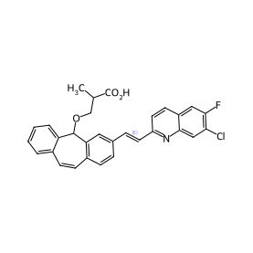 CC(COC1c2ccccc2C=Cc2ccc(/C=C/c3ccc4cc(F)c(Cl)cc4n3)cc21)C(=O)O